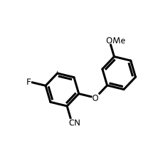 COc1cccc(Oc2c[c]c(F)cc2C#N)c1